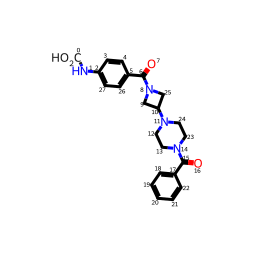 O=C(O)Nc1ccc(C(=O)N2CC(N3CCN(C(=O)c4ccccc4)CC3)C2)cc1